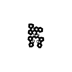 c1ccc(-c2ccccc2-c2ccc3ccccc3c2-c2nc(-c3cccc4c3oc3ccccc34)cc(-c3cccc4c3oc3ccccc34)n2)cc1